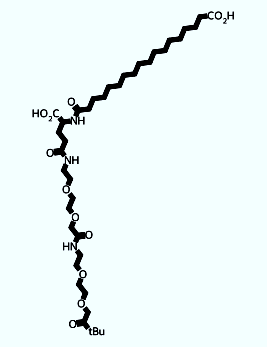 CC(C)(C)C(=O)COCCOCCNC(=O)COCCOCCNC(=O)CCC(NC(=O)CCCCCCCCCCCCCCCCC(=O)O)C(=O)O